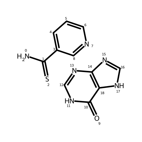 NC(=S)c1cccnc1.O=c1[nH]cnc2nc[nH]c12